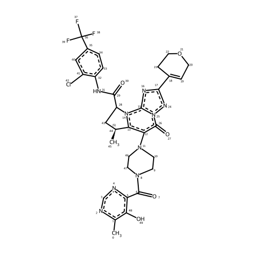 Cc1ncnc(C(=O)N2CCN(c3c4n(c5nc(C6=CCOCC6)nn5c3=O)C(C(=O)Nc3ccc(C(F)(F)F)cc3Cl)C[C@@H]4C)CC2)c1O